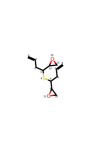 C=CCC(SC(CC=C)C1CO1)C1CO1